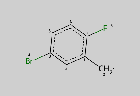 [CH2]c1cc(Br)ccc1F